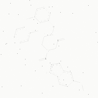 COc1ccc2[nH]c(C(=O)N3CC(=O)N(Cc4cccc(C)c4)[C@@H](Cc4ccccc4)C3)cc2c1